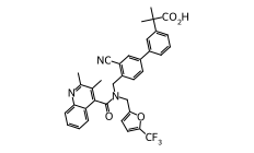 Cc1nc2ccccc2c(C(=O)N(Cc2ccc(C(F)(F)F)o2)Cc2ccc(-c3cccc(C(C)(C)C(=O)O)c3)cc2C#N)c1C